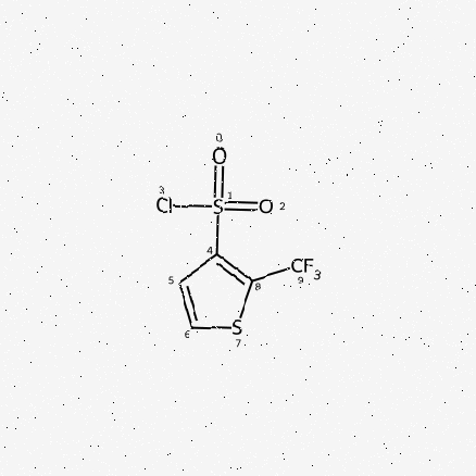 O=S(=O)(Cl)c1ccsc1C(F)(F)F